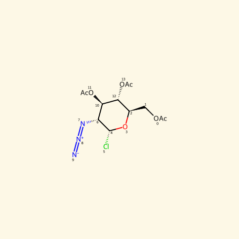 CC(=O)OC[C@H]1O[C@H](Cl)[C@H](N=[N+]=[N-])[C@@H](OC(C)=O)[C@@H]1OC(C)=O